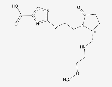 COCCNC[C@H]1CCC(=O)N1CCSc1nc(C(=O)O)cs1